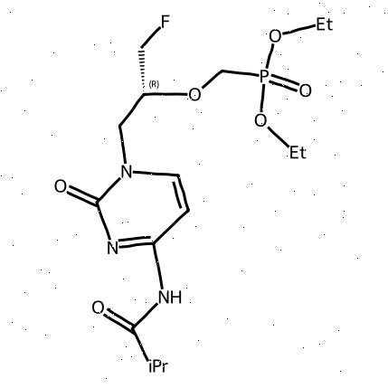 CCOP(=O)(CO[C@@H](CF)Cn1ccc(NC(=O)C(C)C)nc1=O)OCC